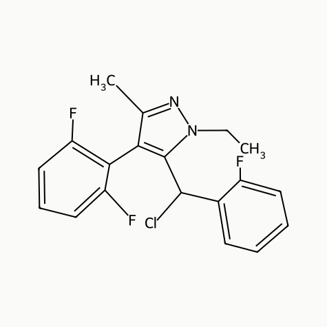 CCn1nc(C)c(-c2c(F)cccc2F)c1C(Cl)c1ccccc1F